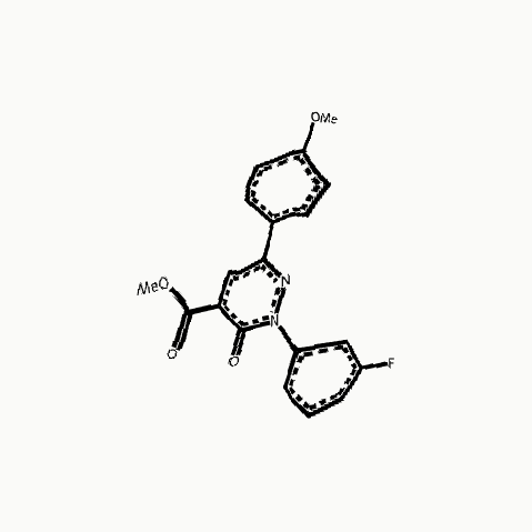 COC(=O)c1cc(-c2ccc(OC)cc2)nn(-c2cccc(F)c2)c1=O